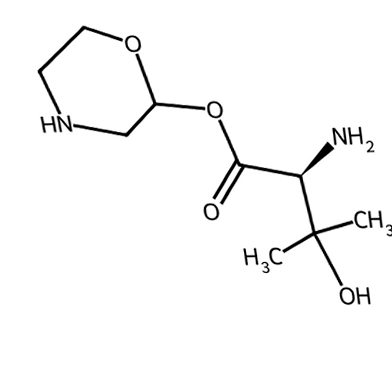 CC(C)(O)[C@H](N)C(=O)OC1CNCCO1